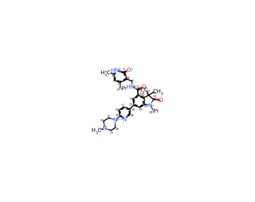 CCCc1cc(C)[nH]c(=O)c1CNC(=O)c1cc(-c2ccc(N3CCN(C)CC3)nc2)cc2c1C(C)(C)C(=O)N2C(C)C